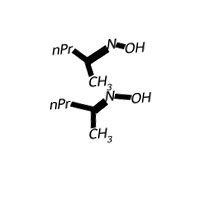 CCCC(C)=NO.CCCC(C)=NO